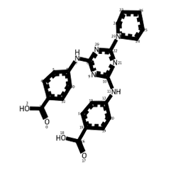 O=C(O)c1ccc(Nc2nc(Nc3ccc(C(=O)O)cc3)nc(-[n+]3ccccc3)n2)cc1